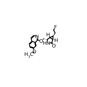 COc1ccc2ccnc(OC[C@H]3NC(=O)[C@@H]4[C@H](CCF)[C@H]43)c2c1